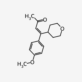 COc1ccc(C(=CC(C)=O)C2CCOCC2)cc1